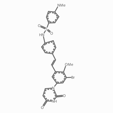 CNc1ccc(S(=O)(=O)Nc2ccc(/C=C/c3cc(-n4ccc(=O)[nH]c4=O)cc(Br)c3OC)cc2)cc1